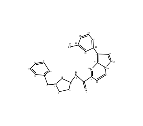 O=C(NC1CCN(Cc2ccccc2)C1)c1ccn2ncc(-c3cccc(Cl)c3)c2n1